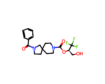 O=C(O[C@H](CO)C(F)(F)F)N1CCC2(CC1)CCN(C(=O)c1ccccc1)C2